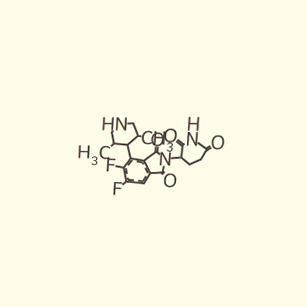 CC1CNCC(C)C1c1c(F)c(F)cc2c1C(=O)N(C1CCC(=O)NC1=O)C2=O